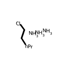 CCCCCCl.N.N.N